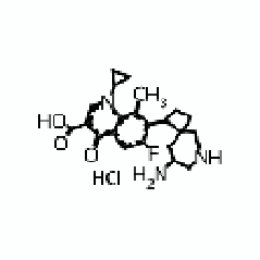 Cc1c(C2CCC23CNCC(N)C3)c(F)cc2c(=O)c(C(=O)O)cn(C3CC3)c12.Cl